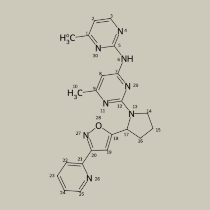 Cc1ccnc(Nc2cc(C)nc(N3CCCC3c3cc(-c4ccccn4)no3)n2)n1